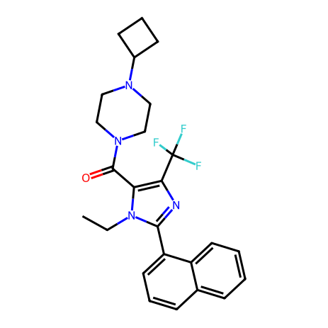 CCn1c(-c2cccc3ccccc23)nc(C(F)(F)F)c1C(=O)N1CCN(C2CCC2)CC1